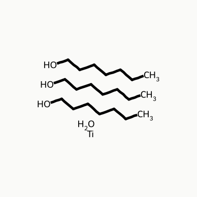 CCCCCCCO.CCCCCCCO.CCCCCCCO.O.[Ti]